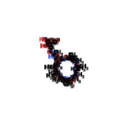 C/C=C\C[C@@H](C)[C@@H](O)C1C(=O)N[C@@H](CC)C(=O)N(C)CC(=O)N(C)[C@@H](CC(C)C)C(=O)N[C@@H](C(C)C)C(=O)N(C)[C@@H](CC(C)C)C(=O)N[C@@H](C)C(=O)N[C@H](COCC(=O)N[C@@H](CNC(=O)c2ccc(-c3c4ccc(=O)cc-4oc4cc(O)ccc34)c(C(=O)O)c2)C(C)=O)C(=O)N(C)[C@@H](CC(C)C)C(=O)N(C)[C@@H](CC(C)C)C(=O)N(C)[C@@H](C(C)C)C(=O)N1C